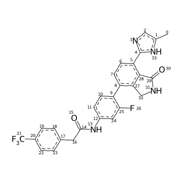 Cc1cnc(-c2ccc(-c3ccc(NC(=O)Cc4ccc(C(F)(F)F)cc4)cc3F)c3c2C(=O)NC3)[nH]1